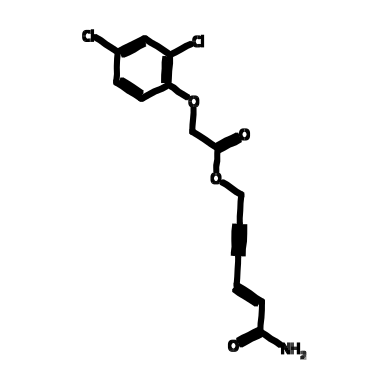 NC(=O)/C=C/C#CCOC(=O)COc1ccc(Cl)cc1Cl